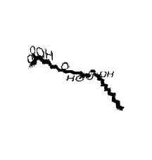 CCCCCCCCCCCC[C@H](O)[C@@H]1CC[C@@H]([C@@H](O)CCCCC(=O)CCCCC[C@@H](O)C2=C[C@H](C)OC2=O)O1